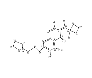 C=C(C)/C(C(=O)c1ccc(CCCN2CCCC2)c(F)c1F)=C(\C)C1(C)CCC1